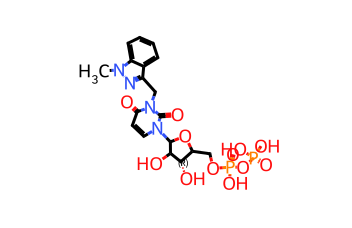 Cn1nc(Cn2c(=O)ccn(C3OC(COP(=O)(O)OP(=O)(O)O)[C@H](O)C3O)c2=O)c2ccccc21